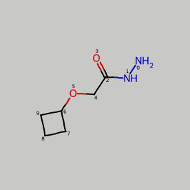 NNC(=O)COC1CCC1